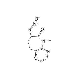 CN1C(=O)C(N=[N+]=[N-])CCc2nccnc21